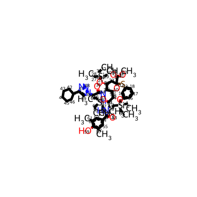 CC[Si](CC)(CC)O[C@@H]([C@@H]1OC(Sc2ccccc2)(C(=O)OC)C[C@H](O[Si](CC)(CC)CC)[C@H]1NC(=O)Cn1cc(C2CCCCC2)nn1)[C@@H](CNC(=O)c1cc(C)c(O)c(C)c1)O[Si](CC)(CC)CC